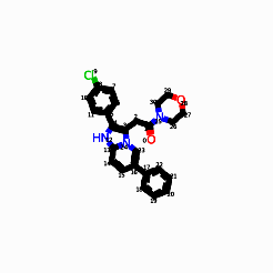 O=C(CC1=C(c2ccc(Cl)cc2)NC2C=CC(c3ccccc3)=CN12)N1CCOCC1